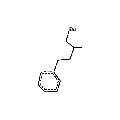 CCC(C)CC(C)CCc1cc[c]cc1